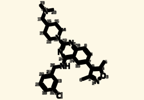 Cc1noc(C)c1-c1ccc2nc(N3CCC(CN(C)C)CC3)nc(NCc3cccc(Cl)c3)c2c1